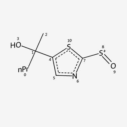 CCCC(C)(O)c1cnc([S+]=O)s1